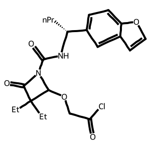 CCC[C@@H](NC(=O)N1C(=O)C(CC)(CC)C1OCC(=O)Cl)c1ccc2occc2c1